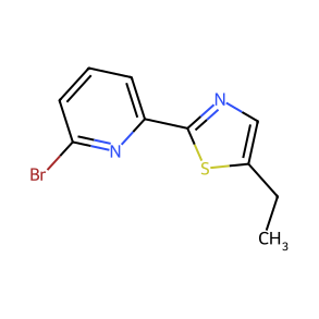 CCc1cnc(-c2cccc(Br)n2)s1